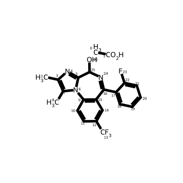 CC(=O)O.Cc1nc2n(c1C)-c1ccc(C(F)(F)F)cc1C(c1ccccc1F)=NC2O